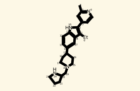 CCc1c(-c2ccnc(C)c2)[nH]c2ccc(C3CCN(CC4CCCN4)CC3)cc12